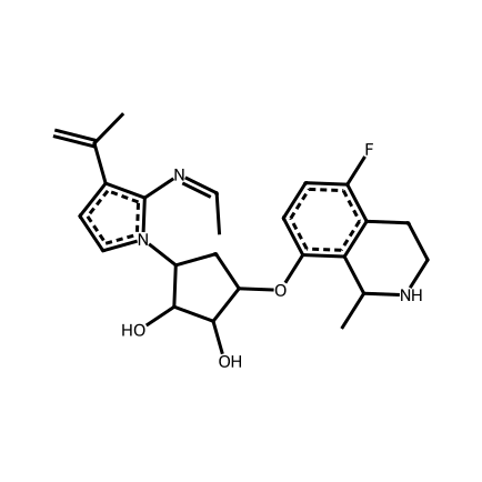 C=C(C)c1ccn(C2CC(Oc3ccc(F)c4c3C(C)NCC4)C(O)C2O)c1/N=C\C